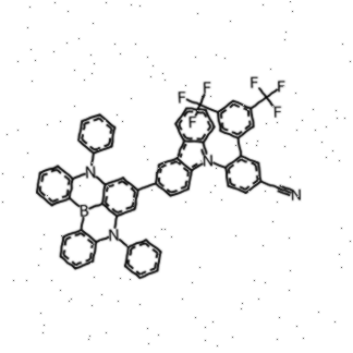 N#Cc1ccc(-n2c3ccccc3c3cc(-c4cc5c6c(c4)N(c4ccccc4)c4ccccc4B6c4ccccc4N5c4ccccc4)ccc32)c(-c2cc(C(F)(F)F)cc(C(F)(F)F)c2)c1